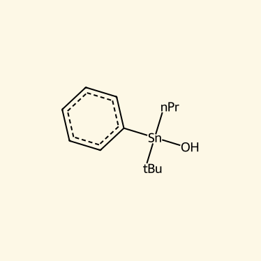 CC[CH2][Sn]([OH])([c]1ccccc1)[C](C)(C)C